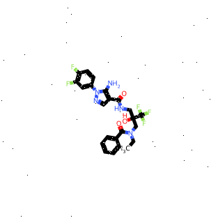 CCN(CC(O)(CNC(=O)c1cnn(-c2ccc(F)c(F)c2)c1N)C(F)(F)F)C(=O)c1ccccc1